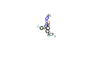 CC(=O)N1CCN(CC(=O)N2CC[C@@]3(Cc4ccc(F)cc4)c4ccc(C(C)(F)C(F)(F)F)cc4CC[C@@H]23)CC1